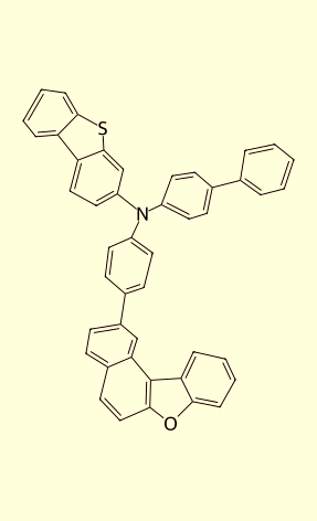 c1ccc(-c2ccc(N(c3ccc(-c4ccc5ccc6oc7ccccc7c6c5c4)cc3)c3ccc4c(c3)sc3ccccc34)cc2)cc1